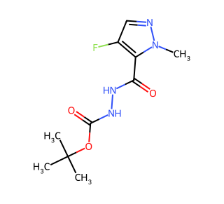 Cn1ncc(F)c1C(=O)NNC(=O)OC(C)(C)C